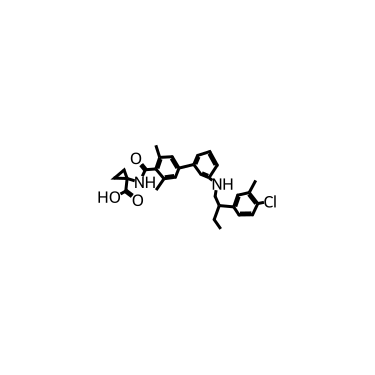 CCC(CNc1cccc(-c2cc(C)c(C(=O)NC3(C(=O)O)CC3)c(C)c2)c1)c1ccc(Cl)c(C)c1